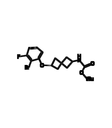 CC(C)(C)OC(=O)NC1CC2(C1)CC(Oc1cccc(F)c1Br)C2